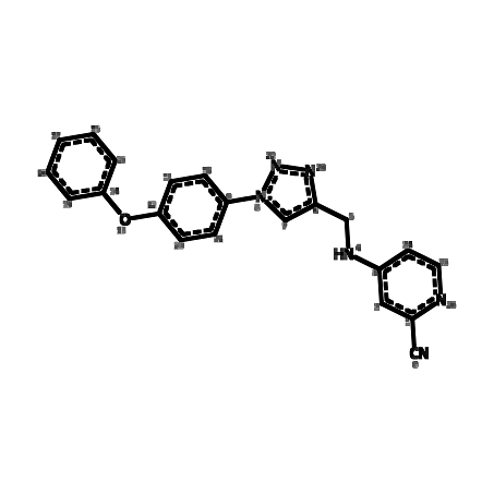 N#Cc1cc(NCc2cn(-c3ccc(Oc4ccccc4)cc3)nn2)ccn1